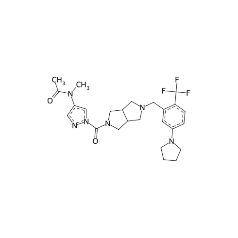 CC(=O)N(C)c1cnn(C(=O)N2CC3CN(Cc4cc(N5CCCC5)ccc4C(F)(F)F)CC3C2)c1